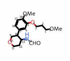 COCCCOc1cc(C2COCCC2NC=O)ccc1OC